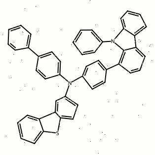 c1ccc(-c2ccc(N(c3ccc(-c4cccc5c6ccccc6n(-c6ccccc6)c45)cc3)c3ccc4sc5ccccc5c4c3)cc2)cc1